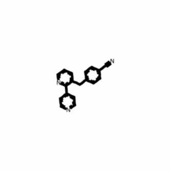 N#Cc1ccc(Cc2cccnc2-c2ccncc2)cc1